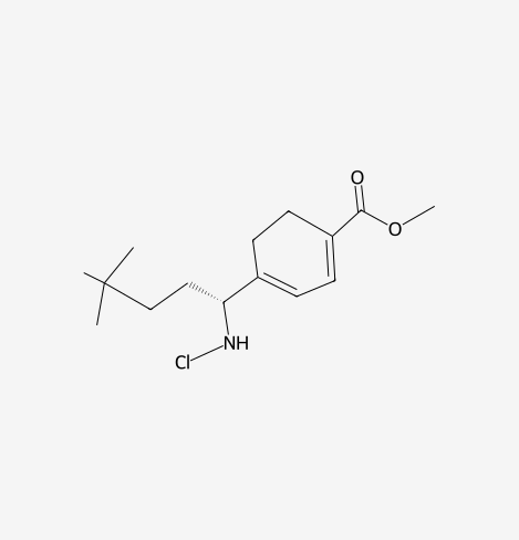 COC(=O)C1=CC=C([C@@H](CCC(C)(C)C)NCl)CC1